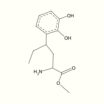 CCC(CC(N)C(=O)OC)c1cccc(O)c1O